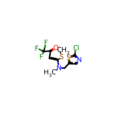 CSC(=CC(=O)C(F)(F)F)N(C)Cc1cnc(Cl)s1